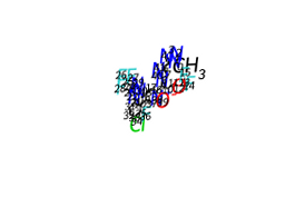 Cn1ncnc1-c1cn(C(CCOC(F)F)c2ccc(-c3c(-n4cc(C(F)(F)F)nn4)ccc(Cl)c3F)c[n+]2[O-])cn1